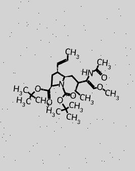 CC=C[C@@H]1C[C@H](C(=O)OC(C)(C)C)N(C(=O)OC(C)(C)C)[C@@H]1CC(CC)C(=COC)NC(C)=O